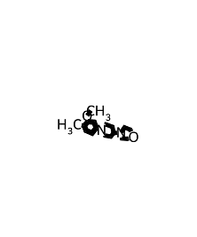 COc1cc(N2CCC(N3CCOCC3)CC2)ccc1C